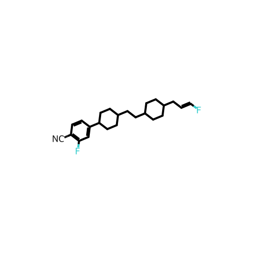 N#Cc1ccc(C2CCC(CCC3CCC(C/C=C/F)CC3)CC2)cc1F